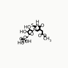 COC(=O)Cc1cn([C@@H]2O[C@H](COP(=O)(O)O)[C@@H](O)[C@H]2O)c(=S)[nH]c1=O